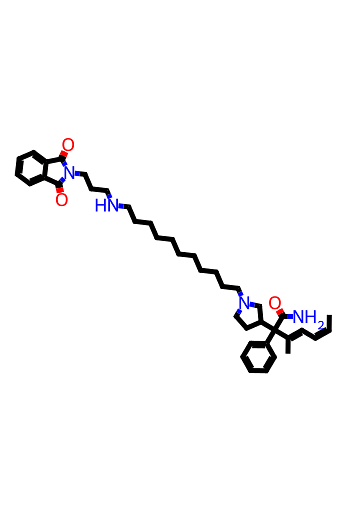 C/C=C\C=C(/C)C(C(N)=O)(c1ccccc1)C1CCN(CCCCCCCCCCCNCCCN2C(=O)c3ccccc3C2=O)C1